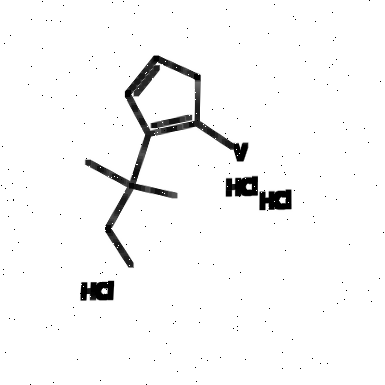 CCC(C)(C)C1=[C]([V])CC=C1.Cl.Cl.Cl